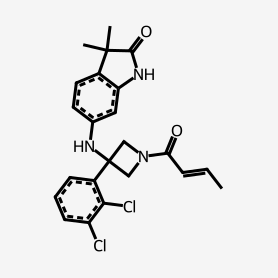 C/C=C/C(=O)N1CC(Nc2ccc3c(c2)NC(=O)C3(C)C)(c2cccc(Cl)c2Cl)C1